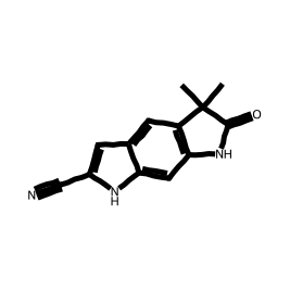 CC1(C)C(=O)Nc2cc3[nH]c(C#N)cc3cc21